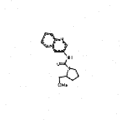 COCC1CCCN1C(=O)Nc1cnc2ccccc2c1